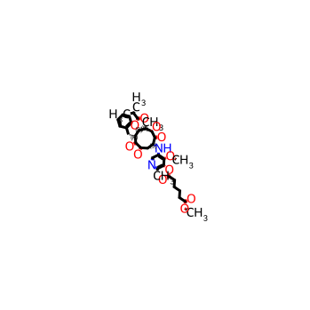 COC(=O)CCCCC(=O)Oc1c(C)ncc(N[C@H]2CC(=O)C(=O)[C@H](Cc3ccccc3)[C@H](OC(=O)C(C)C)[C@H](C)C(=O)C2=O)c1OC